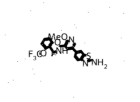 COc1ncc(-c2ccc3nc(N)sc3c2)cc1C(=O)N[C@@H](C)c1ccccc1OC(F)(F)F